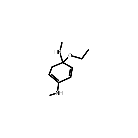 CCOC1(NC)C=CC(NC)=CC1